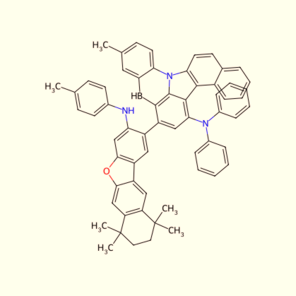 Cc1ccc(Nc2cc3oc4cc5c(cc4c3cc2-c2cc(N(c3ccccc3)c3ccccc3)c3c4c6ccccc6ccc4n4c3c2Bc2cc(C)ccc2-4)C(C)(C)CCC5(C)C)cc1